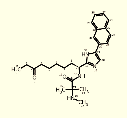 CCC(=O)CCCCC[C@H](NC(=O)C(C)(C)NC)c1ncc(-c2ccc3ccccc3c2)[nH]1